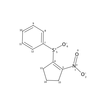 O=[N+]([O-])C1=C([S+]([O-])c2ccccc2)CCC1